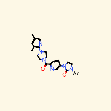 CC(=O)N1CCN(c2ccc(C(=O)N3CCN(c4ncc(C)cc4C)CC3)nc2)C1=O